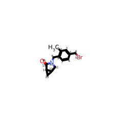 Cc1cc(CBr)ccc1CN1CC2CC2C1=O